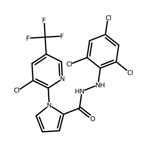 O=C(NNc1c(Cl)cc(Cl)cc1Cl)c1cccn1-c1ncc(C(F)(F)F)cc1Cl